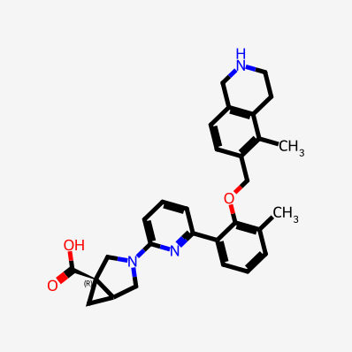 Cc1cccc(-c2cccc(N3CC4C[C@]4(C(=O)O)C3)n2)c1OCc1ccc2c(c1C)CCNC2